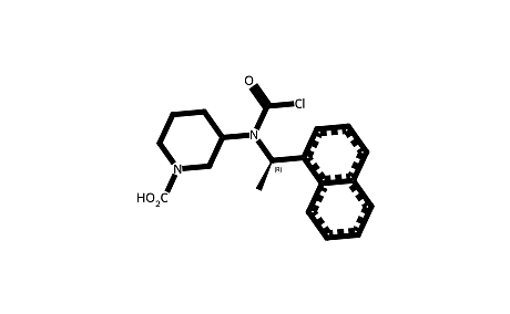 C[C@H](c1cccc2ccccc12)N(C(=O)Cl)C1CCCN(C(=O)O)C1